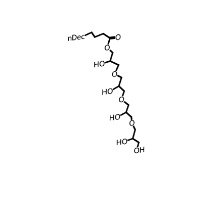 CCCCCCCCCCCCCC(=O)OCC(O)COCC(O)COCC(O)COCC(O)CO